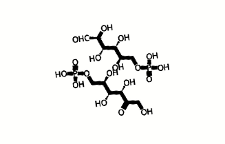 O=C(CO)[C@@H](O)[C@H](O)[C@H](O)COP(=O)(O)O.O=C[C@@H](O)[C@@H](O)[C@H](O)[C@H](O)COP(=O)(O)O